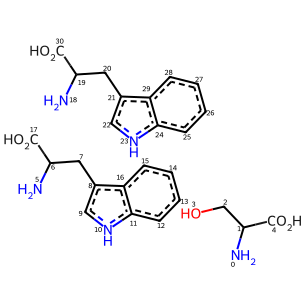 NC(CO)C(=O)O.NC(Cc1c[nH]c2ccccc12)C(=O)O.NC(Cc1c[nH]c2ccccc12)C(=O)O